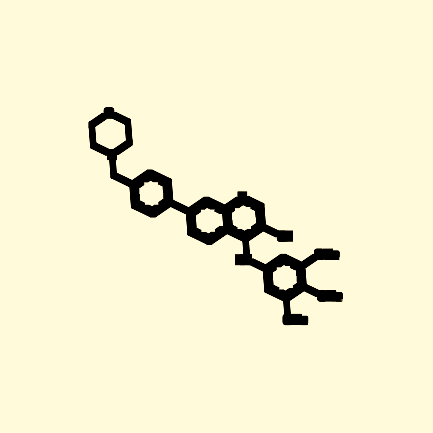 COc1cc(Nc2c(C#N)cnc3cc(-c4ccc(CN5CCOCC5)cc4)ccc23)cc(OC)c1OC